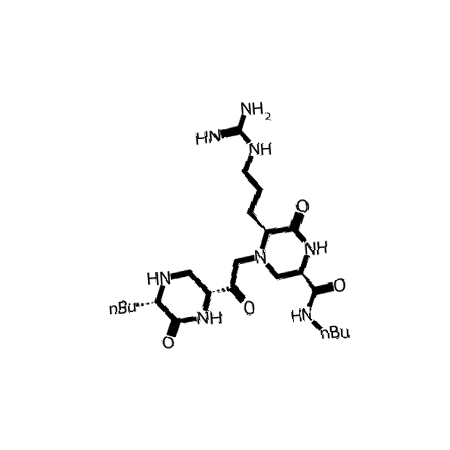 CCCCNC(=O)[C@H]1CN(CC(=O)[C@H]2CN[C@@H](CCCC)C(=O)N2)[C@@H](CCCNC(=N)N)C(=O)N1